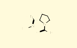 CC(=O)N1CCC[C@H]1C(N)=NO